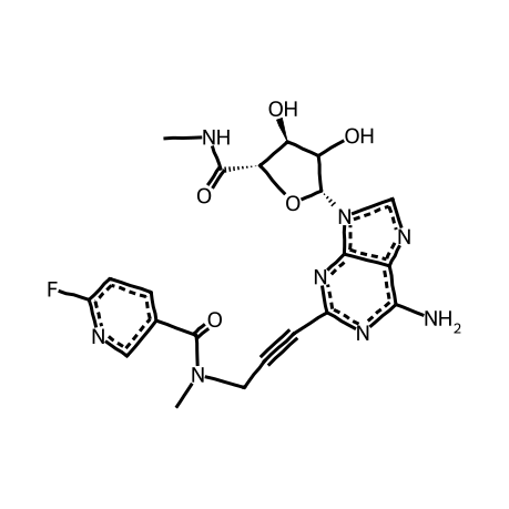 CNC(=O)[C@H]1O[C@@H](n2cnc3c(N)nc(C#CCN(C)C(=O)c4ccc(F)nc4)nc32)C(O)[C@@H]1O